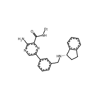 CCNC(=O)c1nc(-c2cccc(CN[C@H]3CCc4ccccc43)c2)cnc1N